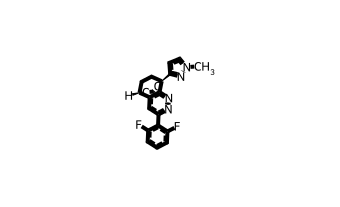 Cn1ccc([C@@]23CCC[C@@H](CC2)c2cc(-c4c(F)cccc4F)nnc23)n1